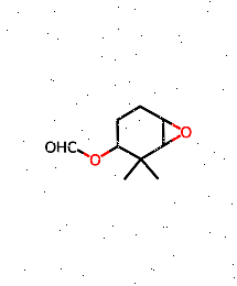 CC1(C)C(OC=O)CCC2OC21